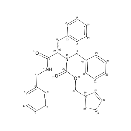 O=C(NCc1ccccc1)[C@H](Cc1ccccc1)N(Cc1ccccc1)C(=O)OCN1C=CSC1